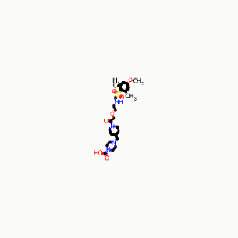 COc1cc(C)c(S(=O)(=O)CNCCOCC(=O)N2CCC(CN3CCN(C(=O)O)CC3)CC2)c(C)c1